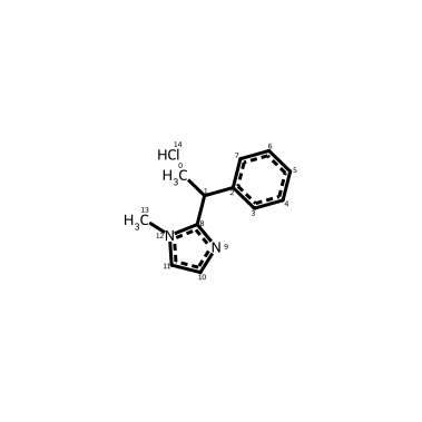 CC(c1ccccc1)c1nccn1C.Cl